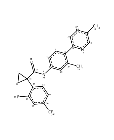 Cc1cnc(-c2ccc(NC(=O)C3(c4ccc(C(F)(F)F)cc4F)CC3)cc2C)cn1